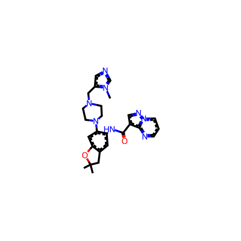 Cn1cncc1CN1CCN(c2cc3c(cc2NC(=O)c2cnn4cccnc24)CC(C)(C)O3)CC1